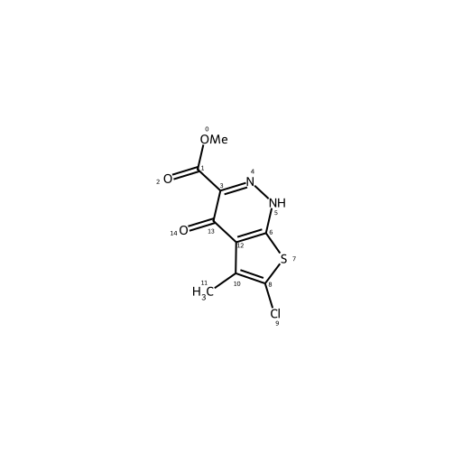 COC(=O)c1n[nH]c2sc(Cl)c(C)c2c1=O